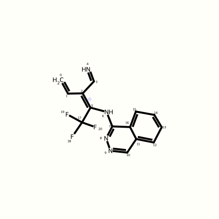 C=C/C(C=N)=C(/Nc1nncc2ccccc12)C(F)(F)F